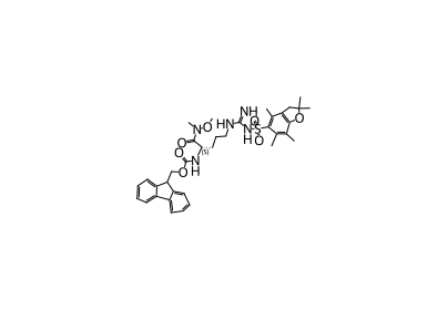 CON(C)C(=O)[C@H](CCCNC(=N)NS(=O)(=O)c1c(C)c(C)c2c(c1C)CC(C)(C)O2)NC(=O)OCC1c2ccccc2-c2ccccc21